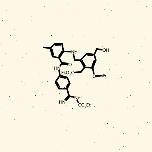 CCOC(=O)Cc1c(CNc2ccc(C)cc2C(=O)Nc2ccc(C(=N)NC(=O)OCC)cc2)cc(CO)cc1OC(C)C